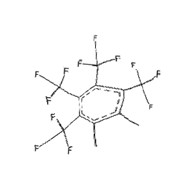 Cc1c(C)c(C(F)(F)F)c(C(F)(F)F)c(C(F)(F)F)c1C(F)(F)F